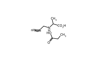 CCC(=O)O.CCCCCCCCNC(C)C(=O)O.[NaH]